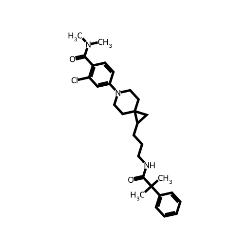 CN(C)C(=O)c1ccc(N2CCC3(CC2)CC3CCCNC(=O)C(C)(C)c2ccccc2)cc1Cl